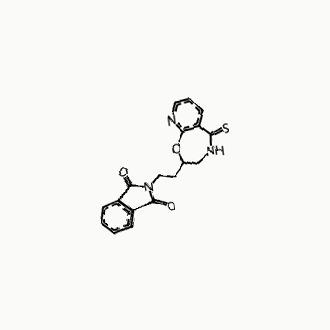 O=C1c2ccccc2C(=O)N1CCC1CNC(=S)c2cccnc2O1